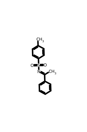 C/C(=N\S(=O)(=O)c1ccc(C)cc1)c1ccccc1